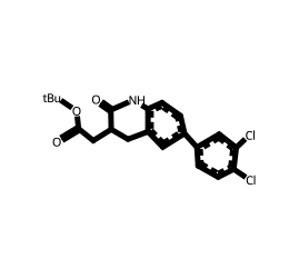 CC(C)(C)OC(=O)CC1Cc2cc(-c3ccc(Cl)c(Cl)c3)ccc2NC1=O